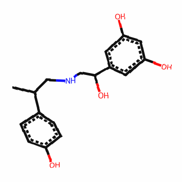 CC(CNCC(O)c1cc(O)cc(O)c1)c1ccc(O)cc1